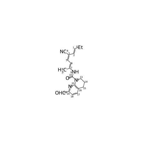 CC/C=C/C(C#N)=C\C=C(/C)NC(=O)N1CCCc2ccc(C=O)nc21